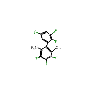 Fc1cc(F)c(F)c(-c2c(C(F)(F)F)c(F)c(F)c(F)c2C(F)(F)F)c1